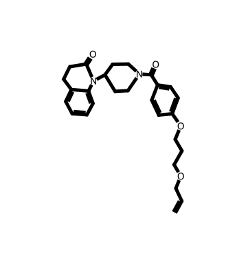 C=CCOCCCOc1ccc(C(=O)N2CCC(N3C(=O)CCc4ccccc43)CC2)cc1